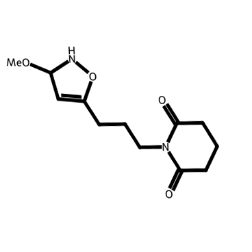 COC1C=C(CCCN2C(=O)CCCC2=O)ON1